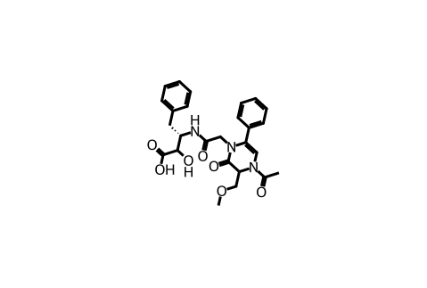 COCC1C(=O)N(CC(=O)N[C@@H](Cc2ccccc2)C(O)C(=O)O)C(c2ccccc2)=CN1C(C)=O